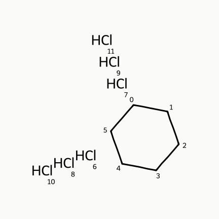 C1CCCCC1.Cl.Cl.Cl.Cl.Cl.Cl